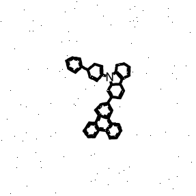 C1=CC2=C(CC1)N(C1=CCC(c3ccccc3)C=C1)C1C=C(c3ccc4c5ccccc5c5ccccc5c4c3)C=CC21